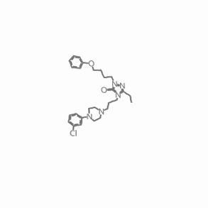 CCc1nn(CCCCOc2ccccc2)c(=O)n1CCCN1CCN(c2cccc(Cl)c2)CC1